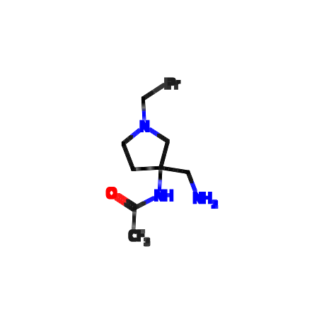 CC(C)CN1CCC(CN)(NC(=O)C(F)(F)F)C1